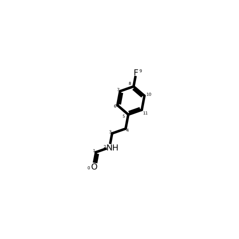 O=[C]NCCc1ccc(F)cc1